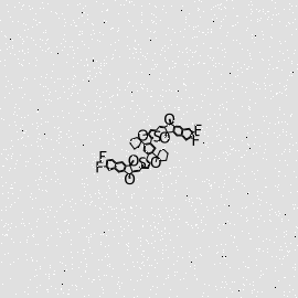 O=C1C(=Cc2cc3c(s2)-c2cc4c(cc2C2(CCCCC2)O3)-c2sc(C=C3C(=O)c5cc6cc(F)c(F)cc6cc5C3=O)cc2OC42CCCCC2)C(=O)c2cc3cc(F)c(F)cc3cc21